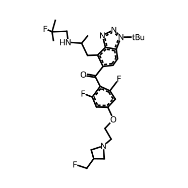 CC(Cc1c(C(=O)c2c(F)cc(OCCN3CC(CF)C3)cc2F)ccc2c1nnn2C(C)(C)C)NCC(C)(C)F